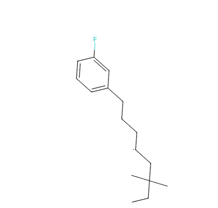 CCC(C)(C)C[CH]CCCc1cccc(F)c1